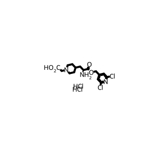 Cl.Cl.N[C@@H](CC1CCN(CC(=O)O)CC1)C(=O)OCc1cc(Cl)nc(Cl)c1